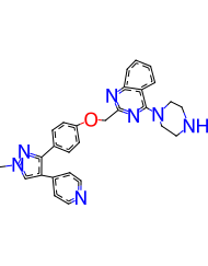 Cn1cc(-c2ccncc2)c(-c2ccc(OCc3nc(N4CCNCC4)c4ccccc4n3)cc2)n1